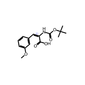 COc1cccc(/C=C(/NC(=O)OC(C)(C)C)C(=O)O)c1